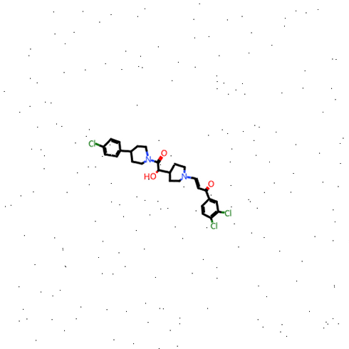 O=C(C=CN1CCC(C(O)C(=O)N2CCC(c3ccc(Cl)cc3)CC2)CC1)c1ccc(Cl)c(Cl)c1